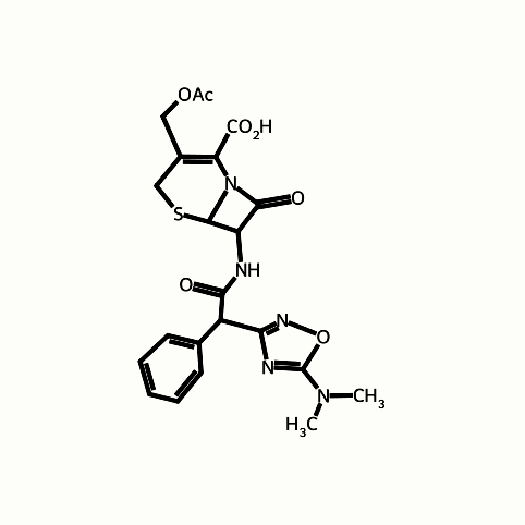 CC(=O)OCC1=C(C(=O)O)N2C(=O)C(NC(=O)C(c3ccccc3)c3noc(N(C)C)n3)C2SC1